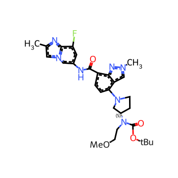 COCCN(C(=O)OC(C)(C)C)[C@H]1CCN(c2ccc(C(=O)Nc3cc(F)c4nc(C)cn4c3)c3nn(C)cc23)C1